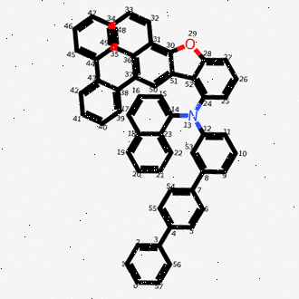 c1ccc(-c2ccc(-c3cccc(N(c4cccc5ccccc45)c4cccc5oc6c7ccccc7c(-c7ccccc7-c7ccccc7)cc6c45)c3)cc2)cc1